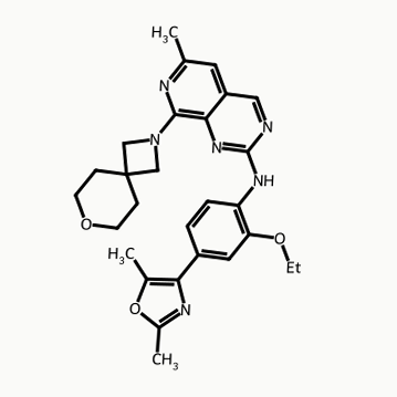 CCOc1cc(-c2nc(C)oc2C)ccc1Nc1ncc2cc(C)nc(N3CC4(CCOCC4)C3)c2n1